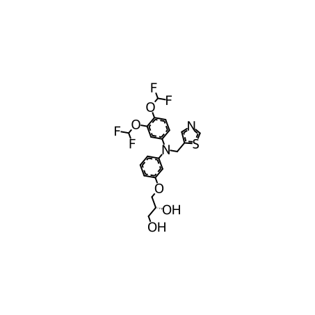 OC[C@@H](O)COc1cccc(N(Cc2cncs2)c2ccc(OC(F)F)c(OC(F)F)c2)c1